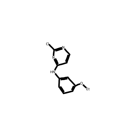 CCOc1cccc(Nc2ccnc(Cl)n2)c1